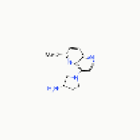 COc1ccc2nccc(N3CC[C@H](N)C3)c2n1